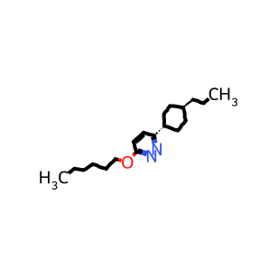 CCCCCCOc1ccc([C@H]2CC[C@H](CCC)CC2)nn1